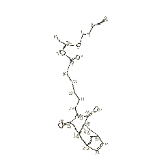 CCCCOC(C)OC(=O)CCCCCN1C(=O)C2C3C=CC(C3)C2C1=O